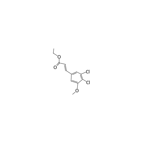 CCOC(=O)C=Cc1cc(Cl)c(Cl)c(OC)c1